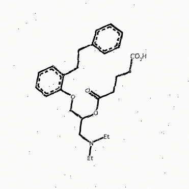 CCN(CC)CC(COc1ccccc1CCc1ccccc1)OC(=O)CCCC(=O)O